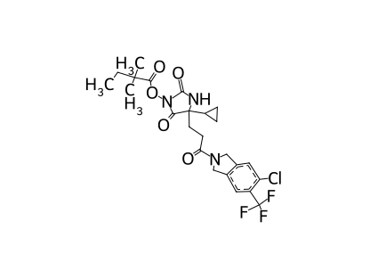 CCC(C)(C)C(=O)ON1C(=O)NC(CCC(=O)N2Cc3cc(Cl)c(C(F)(F)F)cc3C2)(C2CC2)C1=O